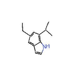 CCc1cc(C(C)C)c2[nH]ccc2c1